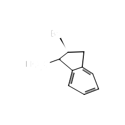 O=C(O)C1c2ccccc2C[C@@H]1Br